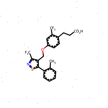 Cc1ccccc1-c1snc(C(F)(F)F)c1COc1ccc(CCC(=O)O)c(C(F)(F)F)c1